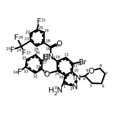 Nc1nn(C2CCCCO2)c2c(Br)cc(NC(=O)c3cc(F)cc(C(F)(F)F)c3)c(Oc3cc(F)ccc3Cl)c12